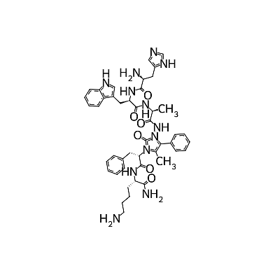 Cc1c(-c2ccccc2)n(NC(=O)[C@H](C)NC(=O)[C@@H](Cc2c[nH]c3ccccc23)NC(=O)[C@@H](N)Cc2cnc[nH]2)c(=O)n1[C@@H](Cc1ccccc1)C(=O)N[C@@H](CCCCN)C(N)=O